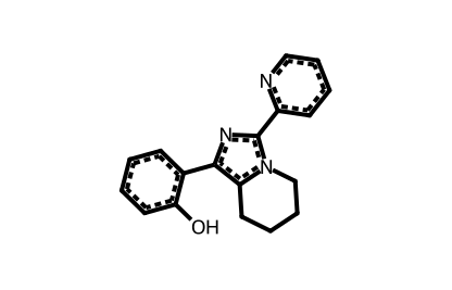 Oc1ccccc1-c1nc(-c2ccccn2)n2c1CCCC2